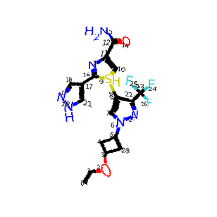 CCOC1CC(n2cc([SH]3C=C(C(N)=O)N=C3c3cn[nH]c3)c(C(F)(F)F)n2)C1